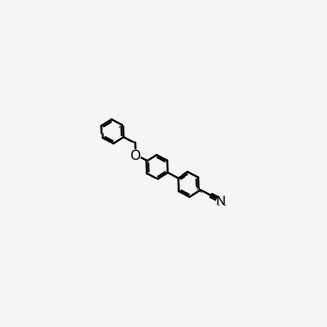 N#Cc1ccc(-c2ccc(OCc3ccccc3)cc2)cc1